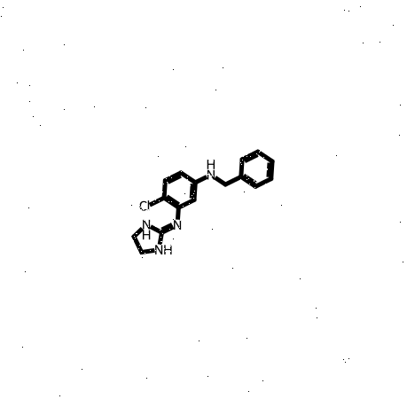 Clc1ccc(NCc2ccccc2)cc1N=C1NCCN1